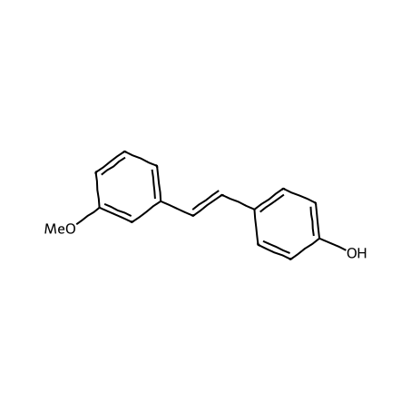 COc1cccc(/C=C/c2ccc(O)cc2)c1